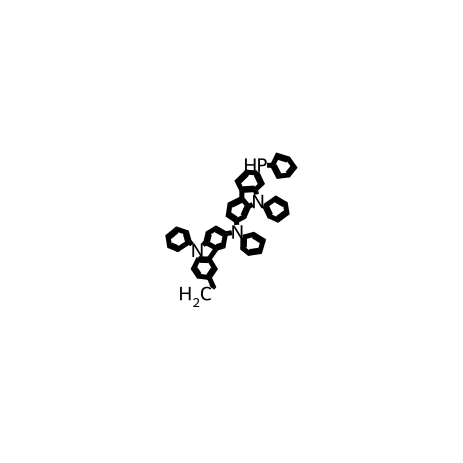 C=Cc1ccc2c(c1)c1cc(N(c3ccccc3)c3ccc4c5ccc(Pc6ccccc6)cc5n(-c5ccccc5)c4c3)ccc1n2-c1ccccc1